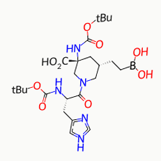 CC(C)(C)OC(=O)N[C@@H](Cc1c[nH]cn1)C(=O)N1C[C@@H](CCB(O)O)C[C@](NC(=O)OC(C)(C)C)(C(=O)O)C1